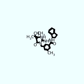 Cc1cc(CN2C(=N)N[C@@]3(C)C(C2=O)C3(C)C)cc(C(=O)N[C@H]2CCc3ccccc32)c1